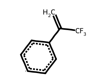 C=C(c1cc[c]cc1)C(F)(F)F